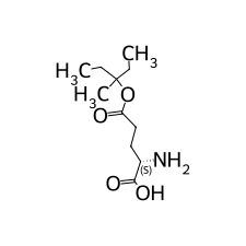 CCC(C)(CC)OC(=O)CC[C@H](N)C(=O)O